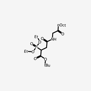 CCCCCCCCC(=O)CNC(=O)CC(C(=O)OC(C)(C)C)P(=O)(OCC)OCC